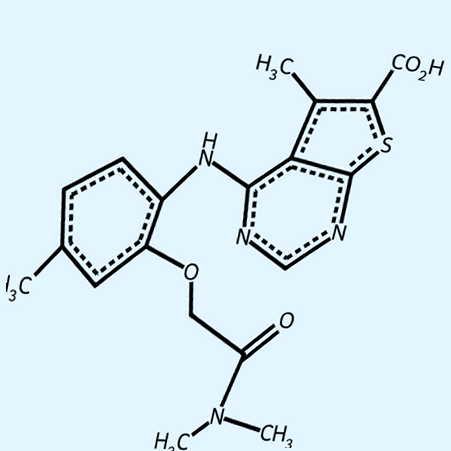 Cc1ccc(Nc2ncnc3sc(C(=O)O)c(C)c23)c(OCC(=O)N(C)C)c1